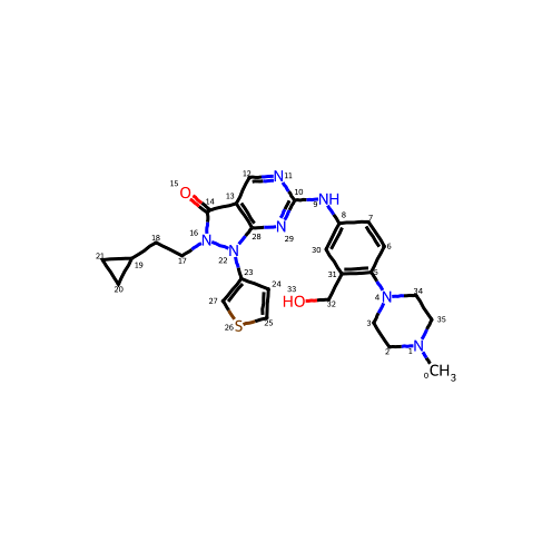 CN1CCN(c2ccc(Nc3ncc4c(=O)n(CCC5CC5)n(-c5ccsc5)c4n3)cc2CO)CC1